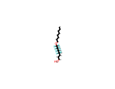 CCCCCCCCOC(F)(F)C(F)(F)C(F)(F)C(F)(F)CCCO